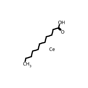 CCCCCCCCCCC(=O)O.[Ce]